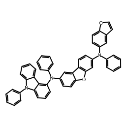 c1ccc(N(c2ccc3occc3c2)c2ccc3c(c2)oc2ccc(N(c4ccccc4)c4cccc5c4c4ccccc4n5-c4ccccc4)cc23)cc1